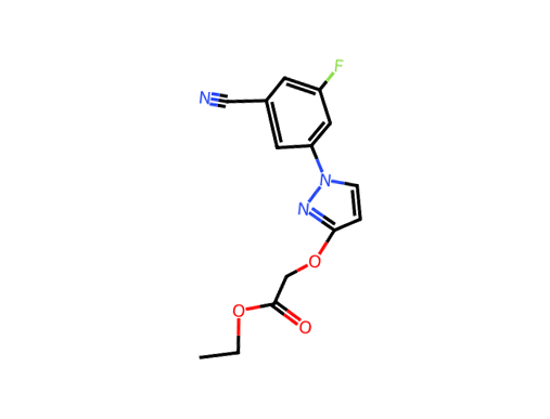 CCOC(=O)COc1ccn(-c2cc(F)cc(C#N)c2)n1